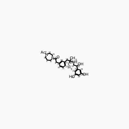 CC(=O)N1CCCN(C(=O)Cc2cccc(CC(C)(C)NCC(O)c3cc(O)cc(O)c3)c2)CC1